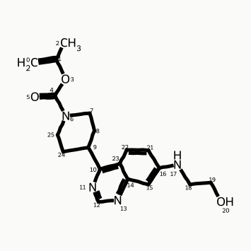 C=C(C)OC(=O)N1CCC(c2ncnc3cc(NCCO)ccc23)CC1